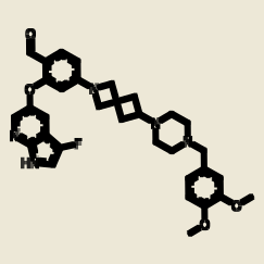 COc1ccc(CN2CCN(C3CC4(C3)CN(c3ccc(C=O)c(Oc5cnc6[nH]cc(F)c6c5)c3)C4)CC2)cc1OC